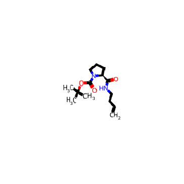 C=CCCNC(=O)[C@@H]1CCCN1C(=O)OC(C)(C)C